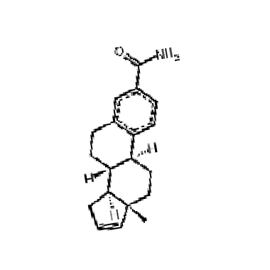 C[C@@]12C=CC[C@H]1[C@@H]1CCc3cc(C(N)=O)ccc3[C@H]1CC2